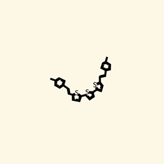 Cc1ccc(C=Cc2ccc(-c3ccc(-c4ccc(C=Cc5ccc(C)cc5)s4)s3)s2)cc1